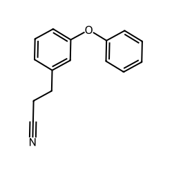 N#CCCc1cccc(Oc2ccccc2)c1